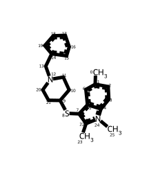 Cc1ccc2c(c1)c(SC1CCN(Cc3ccccc3)CC1)c(C)n2C